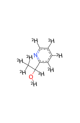 [2H]OC([2H])(c1nc([2H])c([2H])c([2H])c1[2H])C([2H])([2H])[2H]